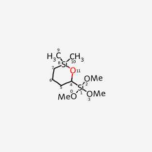 CO[Si](OC)(OC)C1CCC[Si](C)(C)O1